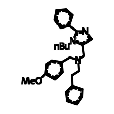 CCCCn1c(CN(CCc2ccccc2)Cc2ccc(OC)cc2)cnc1-c1ccccc1